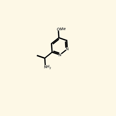 COc1cnnc(C(C)N)c1